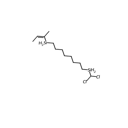 CC=C(C)[SiH2]CCCCCCCC[SiH2]C(Cl)Cl